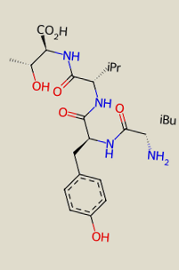 CC[C@H](C)[C@H](N)C(=O)N[C@@H](Cc1ccc(O)cc1)C(=O)N[C@H](C(=O)N[C@H](C(=O)O)[C@@H](C)O)C(C)C